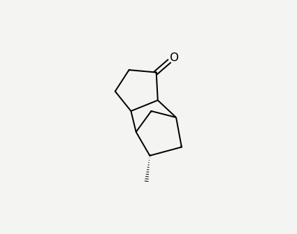 C[C@H]1CC2CC1C1CCC(=O)C21